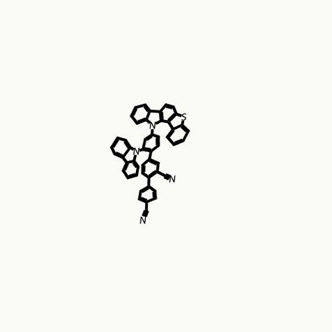 N#Cc1ccc(-c2ccc(-c3ccc(-n4c5ccccc5c5ccc6sc7ccccc7c6c54)cc3-n3c4ccccc4c4ccccc43)cc2C#N)cc1